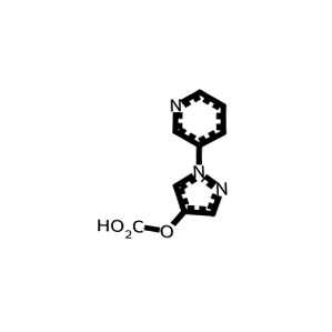 O=C(O)Oc1cnn(-c2cccnc2)c1